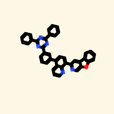 c1ccc(-c2nc(-c3ccccc3)nc(-c3cccc(-c4ccc(-c5cc6c(cn5)oc5ccccc56)c5ncccc45)c3)n2)cc1